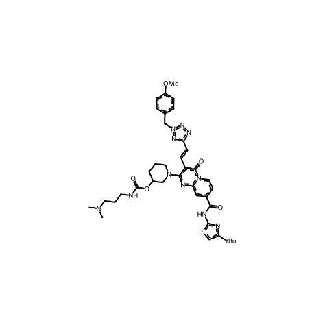 COc1ccc(Cn2nnc(C=Cc3c(N4CCCC(OC(=O)NCCCN(C)C)C4)nc4cc(C(=O)Nc5nc(C(C)(C)C)cs5)ccn4c3=O)n2)cc1